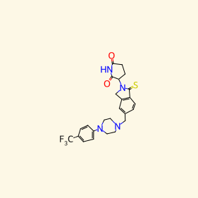 O=C1CCC(N2Cc3cc(CN4CCN(c5ccc(C(F)(F)F)cc5)CC4)ccc3C2=S)C(=O)N1